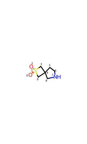 O=S1(=O)CC2(CCNC2)C1